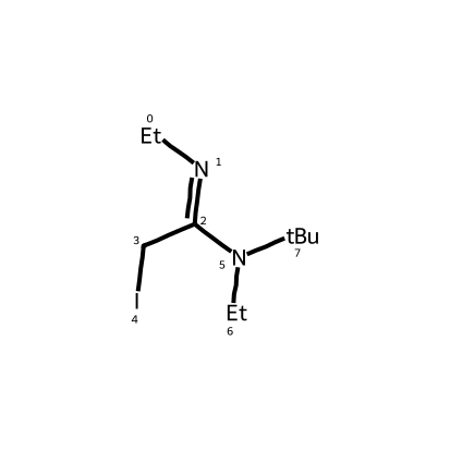 CC/N=C(\CI)N(CC)C(C)(C)C